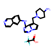 NC1CCN(Cc2ccn3ncnc(Nc4ccc5cnccc5c4)c23)CC1.O=C(O)C(F)(F)F